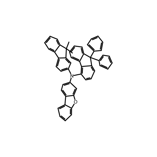 CC1(C)c2ccccc2-c2ccc(N(c3ccc4c(c3)oc3ccccc34)c3cccc4c3-c3ccccc3C4(c3ccccc3)c3ccccc3)cc21